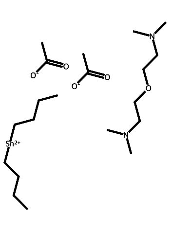 CC(=O)[O-].CC(=O)[O-].CCC[CH2][Sn+2][CH2]CCC.CN(C)CCOCCN(C)C